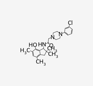 Cc1cc(C)c2c(c1O)C(NC(=O)CN1CCN(c3cccc(Cl)c3)CC1)C(C)(C)C2